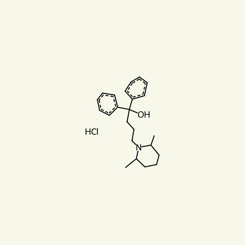 CC1CCCC(C)N1CCCC(O)(c1ccccc1)c1ccccc1.Cl